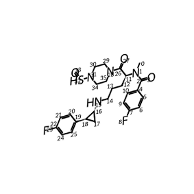 CN(C(=O)c1ccc(F)cc1)[C@@H](CCCN[C@@H]1C[C@H]1c1ccc(F)cc1)C(=O)N1CCN([SH]=O)CC1